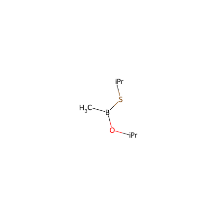 CB(OC(C)C)SC(C)C